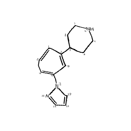 c1cc(C2CCNCC2)cc(-n2cccn2)c1